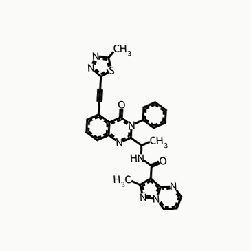 Cc1nnc(C#Cc2cccc3nc(C(C)NC(=O)c4c(C)nn5cccnc45)n(-c4ccccc4)c(=O)c23)s1